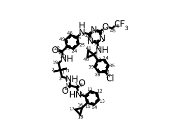 CC(C)(CNC(=O)C(=O)Nc1ccccc1C1CC1)CNC(=O)c1ccc(Nc2nc(NC3(c4ccc(Cl)cc4)CC3)nc(OCC(F)(F)F)n2)cc1